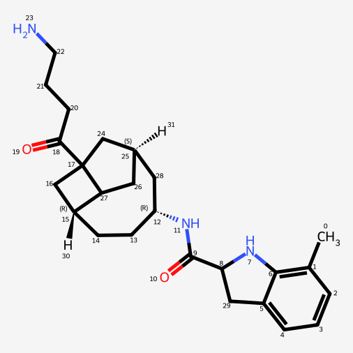 Cc1cccc2c1NC(C(=O)N[C@@H]1CC[C@@H]3CC4(C(=O)CCCN)C[C@H](CC34)C1)C2